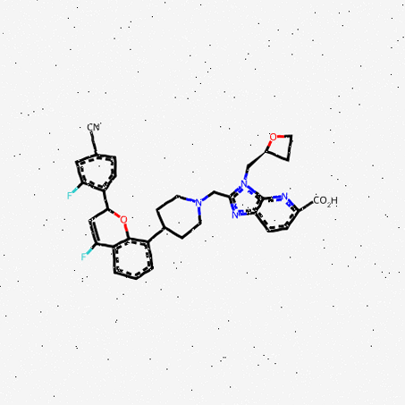 N#Cc1ccc(C2C=C(F)c3cccc(C4CCN(Cc5nc6ccc(C(=O)O)nc6n5C[C@@H]5CCO5)CC4)c3O2)c(F)c1